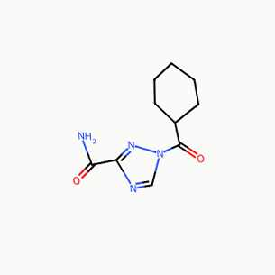 NC(=O)c1ncn(C(=O)C2CCCCC2)n1